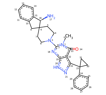 Cn1c(N2CCC3(CC2)Cc2ccccc2[C@H]3N)nc2[nH]nc(C3(c4ccccc4)CC3)c2c1=O